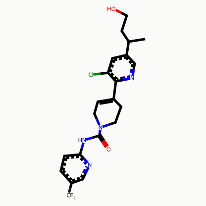 CC(CCO)c1cnc(C2=CCN(C(=O)Nc3ccc(C(F)(F)F)cn3)CC2)c(Cl)c1